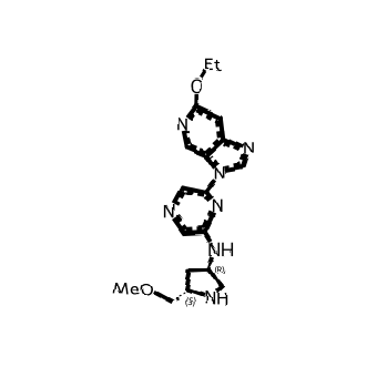 CCOc1cc2ncn(-c3cncc(N[C@H]4CN[C@H](COC)C4)n3)c2cn1